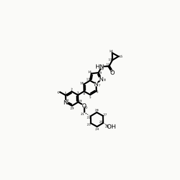 Cc1cc(-c2ccn3nc(NC(=O)C4CC4)cc3c2)c(OC[C@H]2CC[C@@H](O)CC2)cn1